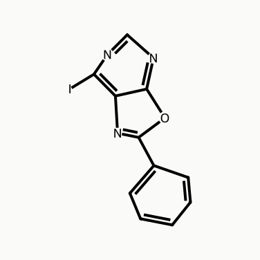 Ic1ncnc2oc(-c3ccccc3)nc12